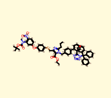 CCCc1nc(CSc2ccc(Oc3ccc([N+](=O)[O-])c(N(C)C(=O)OC(C)(C)C)c3)cc2)c(C(=O)OCC)n1Cc1ccc(-c2ccccc2-c2nnnn2C(c2ccccc2)(c2ccccc2)c2ccccc2)cc1